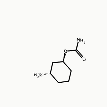 NC(=O)O[C@H]1CCC[C@H](N)C1